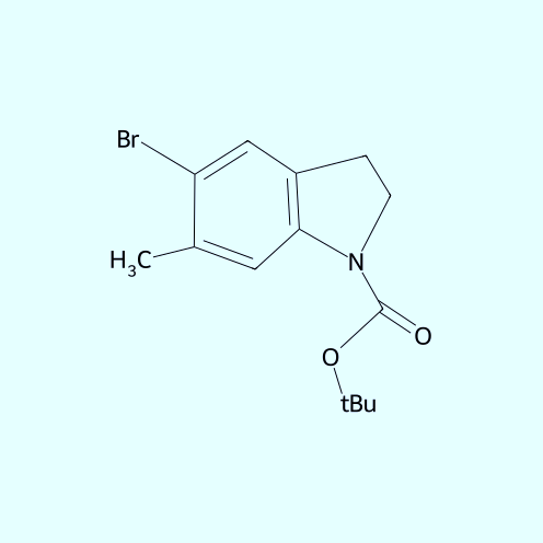 Cc1cc2c(cc1Br)CCN2C(=O)OC(C)(C)C